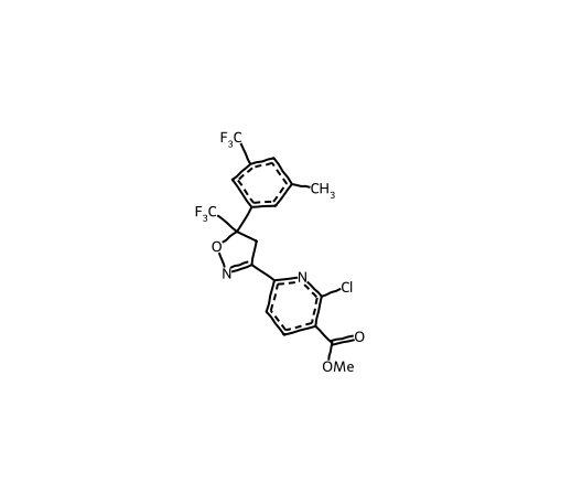 COC(=O)c1ccc(C2=NOC(c3cc(C)cc(C(F)(F)F)c3)(C(F)(F)F)C2)nc1Cl